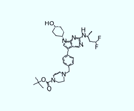 C[C@@H](CC(F)F)Nc1ncc2c(-c3ccc(CN4CCN(C(=O)OC(C)(C)C)CC4)cc3)cn([C@H]3CC[C@H](O)CC3)c2n1